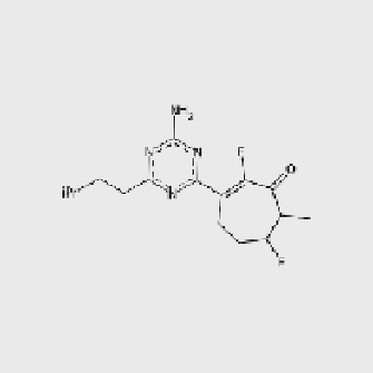 CC(C)CCc1nc(N)nc(C2=C(F)C(=O)C(C)C(F)CC2)n1